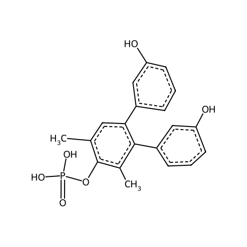 Cc1cc(-c2cccc(O)c2)c(-c2cccc(O)c2)c(C)c1OP(=O)(O)O